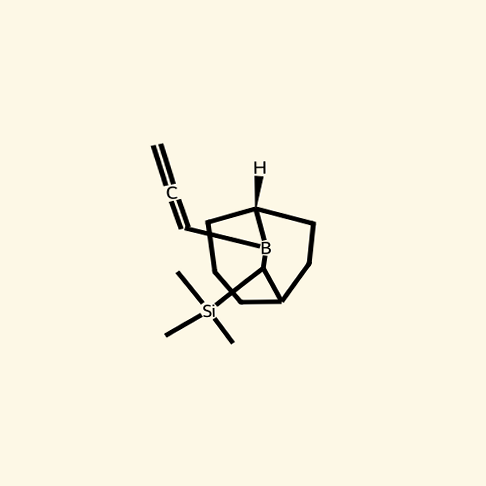 C=C=CB1C([Si](C)(C)C)C2CCC[C@@H]1CC2